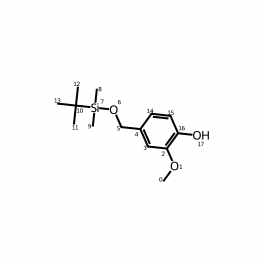 COc1cc(CO[Si](C)(C)C(C)(C)C)ccc1O